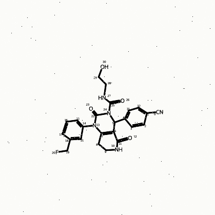 N#Cc1ccc(C2C3=C(CCNC3=O)N(c3cccc(CF)c3)C(=O)N2C(=O)NCCO)cc1